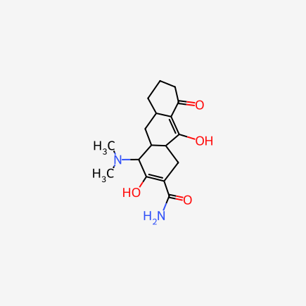 CN(C)C1C(O)=C(C(N)=O)CC2C(O)=C3C(=O)CCCC3CC21